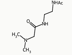 CC(=O)NCCNC(=O)CN(C)C